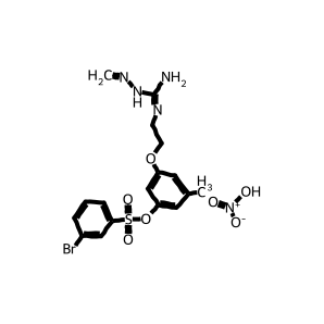 C=NNC(N)=NCCOc1cc(C)cc(OS(=O)(=O)c2cccc(Br)c2)c1.O=[N+]([O-])O